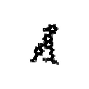 C#Cc1ccc(Nc2nc(COCC(C)C)nc3nc(-c4ncccc4Cl)ccc23)cc1